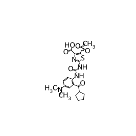 CN(C)c1ccc(NC(=O)Nc2nc(C(=O)O)c(S(C)(=O)=O)s2)c(C(=O)C2CCCC2)c1